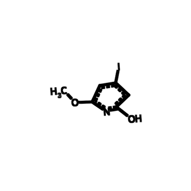 COc1cc(I)cc(O)n1